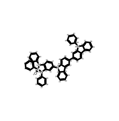 O=P1(c2ccccc2)N(c2ccccc2)c2ccc(-n3c4ccccc4c4cc(-c5ccc6c7ccccc7n(-c7ccccc7)c6c5)ccc43)cc2N1c1ccccc1